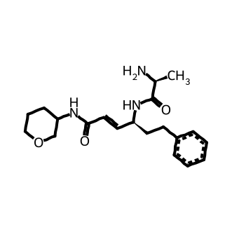 C[C@H](N)C(=O)N[C@H](C=CC(=O)NC1CCCOC1)CCc1ccccc1